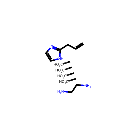 C=CCc1ncc[nH]1.CC(=O)O.CC(=O)O.CC(=O)O.CC(=O)O.NCCN